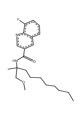 CCCCCCCCC(C)(COC)NC(=O)c1cnc2c(F)cccc2c1